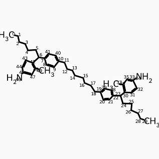 CCCCCCC(c1ccc(CCCCCCCCc2ccc(C(CCCCCC)c3ccc(N)cc3C)cc2)cc1)c1ccc(N)cc1C